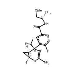 COC[C@H](C)NC(=O)c1ccc(F)c([C@]2(C(F)F)N=C(N)O[C@H]3C[C@H]32)c1